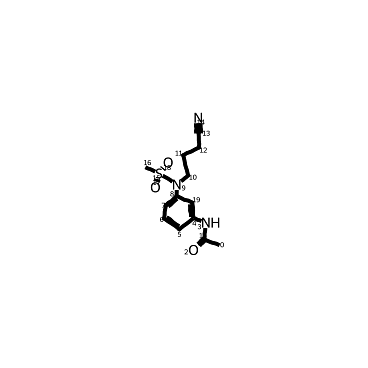 CC(=O)Nc1cccc(N(CCCC#N)S(C)(=O)=O)c1